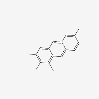 Cc1ccc2cc3c(C)c(C)c(C)cc3cc2c1